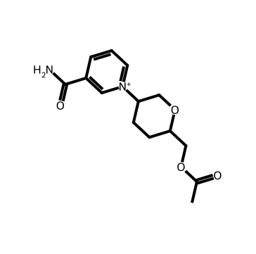 CC(=O)OCC1CCC([n+]2cccc(C(N)=O)c2)CO1